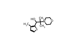 Cc1ccsc1C(O)C(C)(C)N1CCOCC1